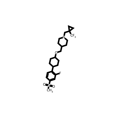 CS(=O)(=O)c1ccc(C2CCC(OCC3CCN(CC4(C(F)(F)F)CC4)CC3)CC2)c(F)c1